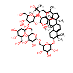 CC[C@@H]1O[C@H](O[C@H]2[C@H](O[C@H](CC[C@@H](C)C3CC[C@@]4(C)C5CC=C6C(CC[C@H](O[C@@H]7O[C@H](CO[C@H]8O[C@H](COC9O[C@@H](CO)[C@H](O)[C@@H](O)[C@@H]9O)[C@@H](O)[C@H](O)[C@H]8O)[C@@H](O)[C@H](O)[C@H]7O)C6(C)C)[C@]5(C)[C@H](O)C[C@]34C)C(C)(C)O)O[C@H](CO)[C@@H](O)[C@@H]2O)[C@@H](O)[C@H](O)[C@H]1O